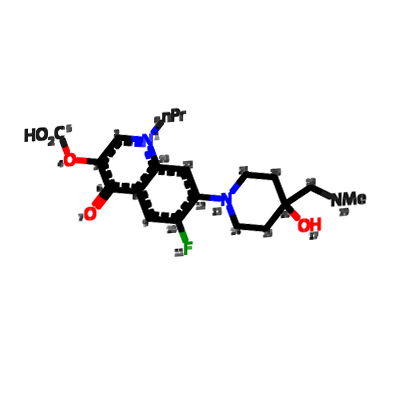 CCCn1cc(OC(=O)O)c(=O)c2cc(F)c(N3CCC(O)(CNC)CC3)cc21